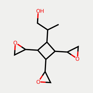 CC(CO)C1C(C2CO2)C(C2CO2)C1C1CO1